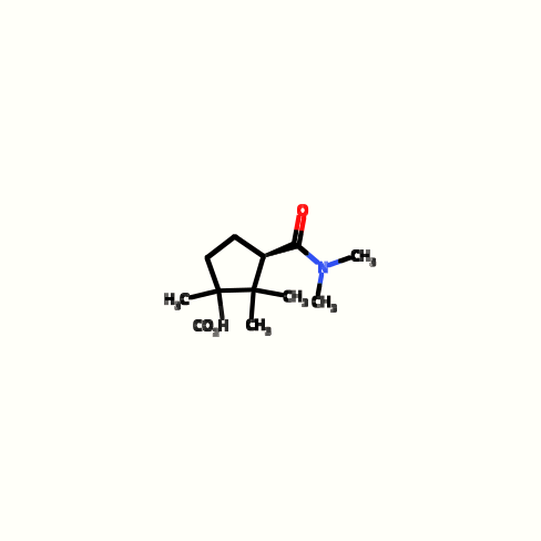 CN(C)C(=O)[C@@H]1CCC(C)(C(=O)O)C1(C)C